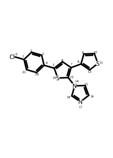 Clc1ccc(-c2cc(-c3ccsc3)c(-n3ccnc3)s2)cc1